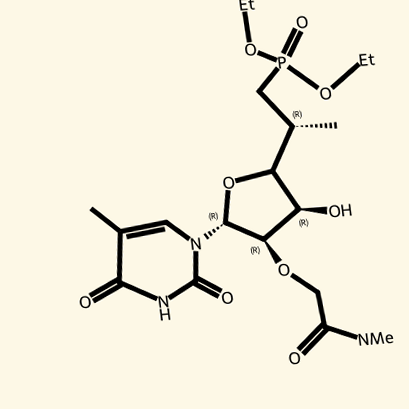 CCOP(=O)(C[C@H](C)C1O[C@@H](n2cc(C)c(=O)[nH]c2=O)[C@H](OCC(=O)NC)[C@@H]1O)OCC